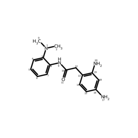 CN(C)c1ccccc1NC(=O)Cc1ccc(N)cc1N